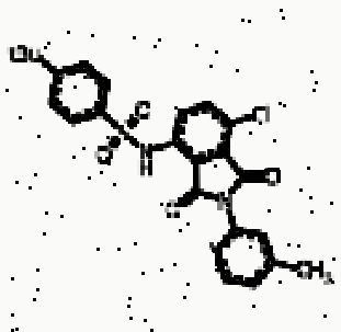 Cc1ccnc(N2C(=O)c3c(Cl)ccc(NS(=O)(=O)c4ccc(C(C)(C)C)cc4)c3C2=O)c1